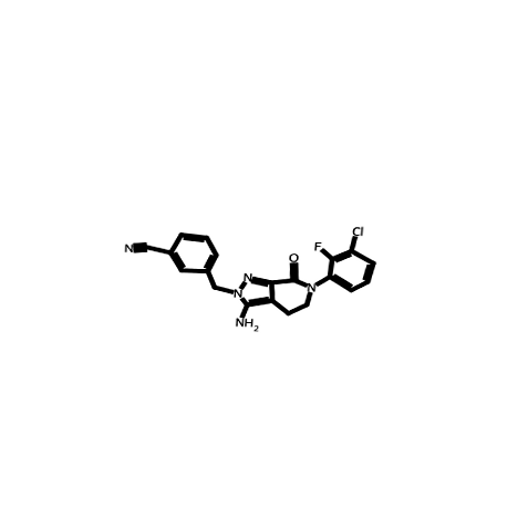 N#Cc1cccc(Cn2nc3c(c2N)CCN(c2cccc(Cl)c2F)C3=O)c1